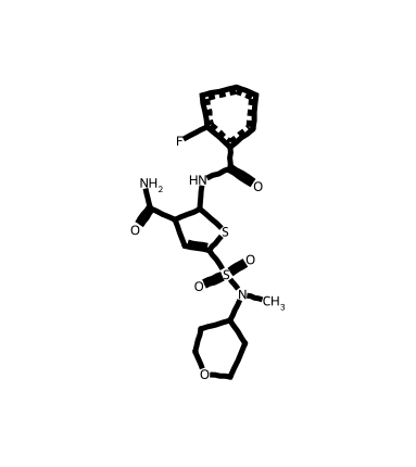 CN(C1CCOCC1)S(=O)(=O)C1=CC(C(N)=O)C(NC(=O)c2ccccc2F)S1